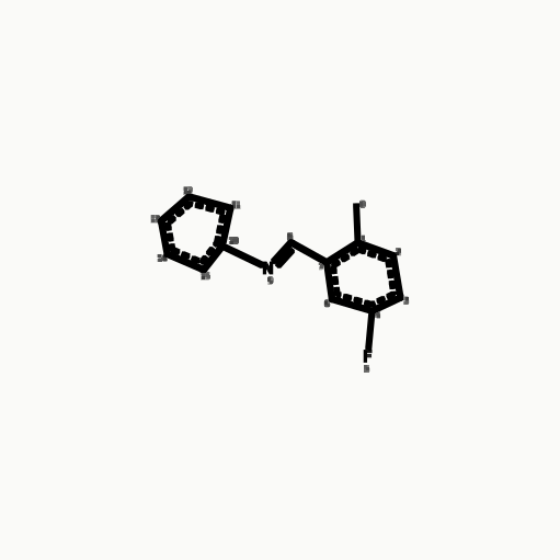 Cc1ccc(F)cc1C=Nc1ccccc1